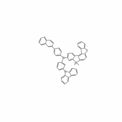 C[Si]1(C)c2cc(N(c3ccc(-c4ccc5ccccc5c4)cc3)c3cccc(-n4c5ccccc5c5ccccc54)c3)ccc2-c2c1ccc1sc3ccccc3c21